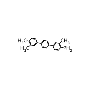 Cc1ccc(-c2ccc(-c3ccc(P)c(C)c3)cc2)cc1C